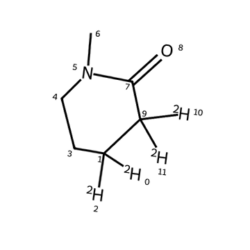 [2H]C1([2H])CCN(C)C(=O)C1([2H])[2H]